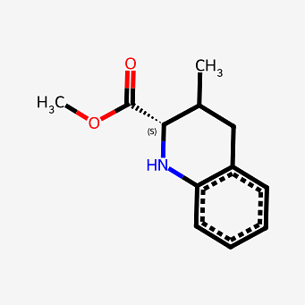 COC(=O)[C@H]1Nc2ccccc2CC1C